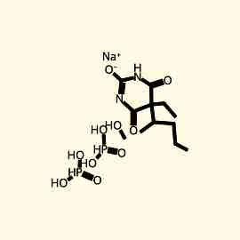 CCCC(C)C1(CC)C(=O)N=C([O-])NC1=O.CO.O=[PH](O)O.O=[PH](O)O.[Na+]